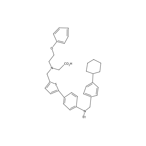 CCN(Cc1ccc(C2CCCCC2)cc1)c1ccc(-c2ccc(CN(CCOc3ccccc3)CC(=O)O)s2)cc1